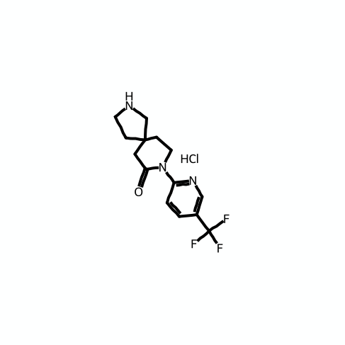 Cl.O=C1CC2(CCNC2)CCN1c1ccc(C(F)(F)F)cn1